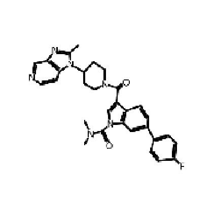 Cc1nc2cnccc2n1C1CCN(C(=O)c2cn(C(=O)N(C)C)c3cc(-c4ccc(F)cc4)ccc23)CC1